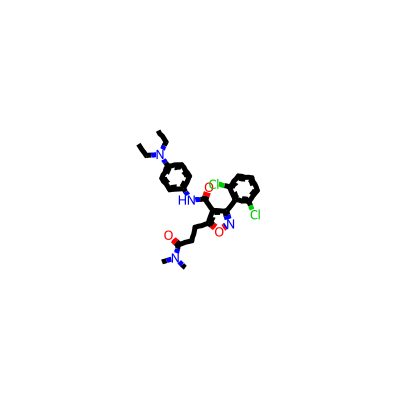 CCN(CC)c1ccc(NC(=O)c2c(-c3c(Cl)cccc3Cl)noc2CCC(=O)N(C)C)cc1